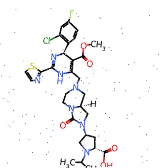 COC(=O)C1=C(CN2CCN3C(=O)N([C@H]4C[C@H](C(=O)O)N(C(C)C)C4)C[C@@H]3C2)NC(c2nccs2)=N[C@H]1c1ccc(F)cc1Cl